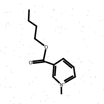 CCCCOC(=O)c1ccc[n+](C)c1